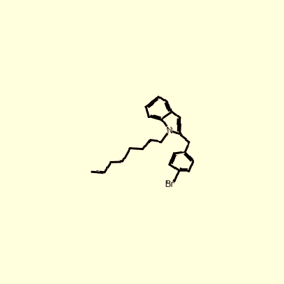 CCCCCCCCn1c(Cc2ccc(Br)cc2)cc2ccccc21